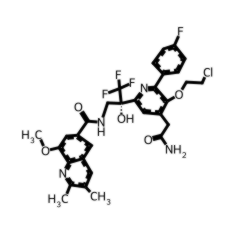 COc1cc(C(=O)NC[C@](O)(c2cc(CC(N)=O)c(OCCCl)c(-c3ccc(F)cc3)n2)C(F)(F)F)cc2cc(C)c(C)nc12